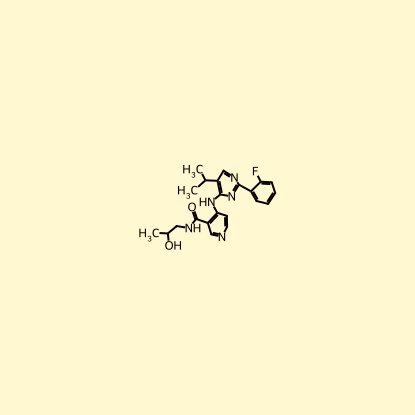 CC(O)CNC(=O)c1cnccc1Nc1nc(-c2ccccc2F)ncc1C(C)C